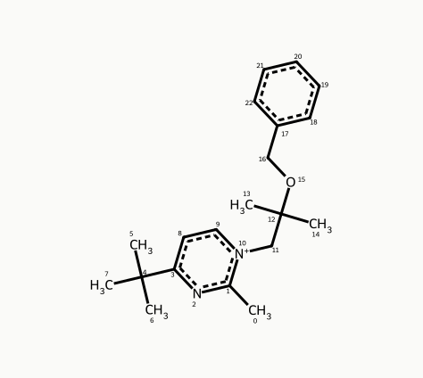 Cc1nc(C(C)(C)C)cc[n+]1CC(C)(C)OCc1ccccc1